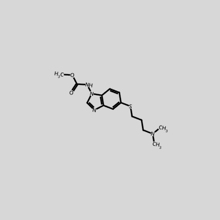 COC(=O)Nn1cnc2cc(SCCCN(C)C)ccc21